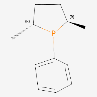 C[C@@H]1CC[C@@H](C)P1c1ccccc1